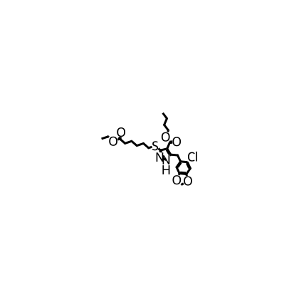 CCCCOC(=O)c1c(SCCCCCC(=O)OCC)n[nH]c1Cc1cc2c(cc1Cl)OCO2